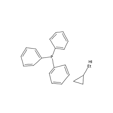 CCC1CC1.I.c1ccc(P(c2ccccc2)c2ccccc2)cc1